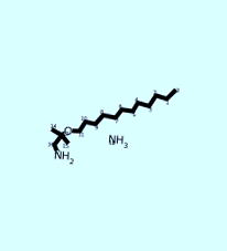 CCCCCCCCCCCCOC(C)(C)CN.N